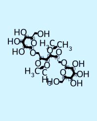 CC1(C)O[C@@H]([C@H]2OC(C)(C)O[C@@H]2CO[C@@H]2O[C@H](CO)[C@@H](O)[C@H](O)[C@H]2O)[C@H](CO[C@@H]2O[C@H](CO)[C@@H](O)[C@H](O)[C@H]2O)O1